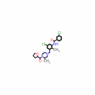 Cc1c(CN2CCN(C(=O)C3CCCO3)C(C)C2)cc(Cl)cc1NC(=O)c1cccc(Cl)c1